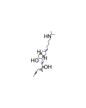 CC#CC[C@H](C)[C@H](O)/C=C/C1C(O)C[C@@H]2C/C(=C\CCCCNC(C)C)C[C@H]12